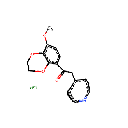 COc1ccc(C(=O)Cc2ccncc2)c2c1OCCO2.Cl